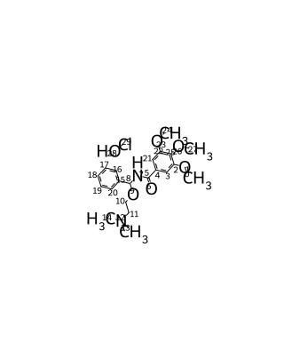 COc1cc(C(=O)NC(OCCN(C)C)c2ccccc2)cc(OC)c1OC.OCl